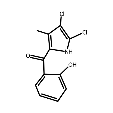 Cc1c(C(=O)c2ccccc2O)[nH]c(Cl)c1Cl